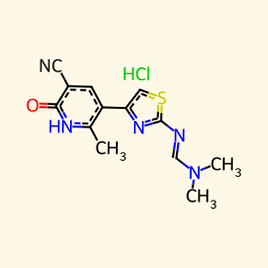 Cc1[nH]c(=O)c(C#N)cc1-c1csc(N=CN(C)C)n1.Cl